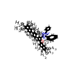 Bc1c(B)c(-c2c(B)c(-c3nc(-c4ccccc4)nc(-c4ccccc4)n3)c3oc4c5c(B)c(B)c(B)c(B)c5c(B)c(B)c4c3c2B)c(B)c(B)c1-c1c(B)c(B)c2c(B)c(B)c(B)c(B)c2c1B